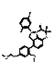 COCOc1ccc(-c2ccc3c4c2CN(c2cc(F)ccc2C)N4C(=O)C(C)(C)N3)c(OC)c1